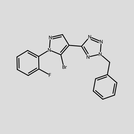 Fc1ccccc1-n1ncc(-c2nnn(Cc3ccccc3)n2)c1Br